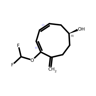 C=C1CC[C@H](O)C/C=C\C=C/1OC(F)F